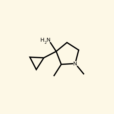 CC1N(C)CCC1(N)C1CC1